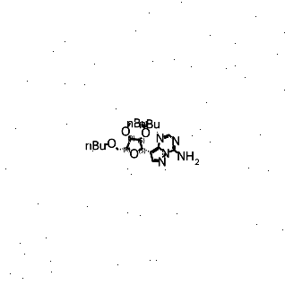 CCCCOC[C@H]1O[C@@H](c2cnn3c(N)ncnc23)[C@H](OCCCC)[C@@H]1OCCCC